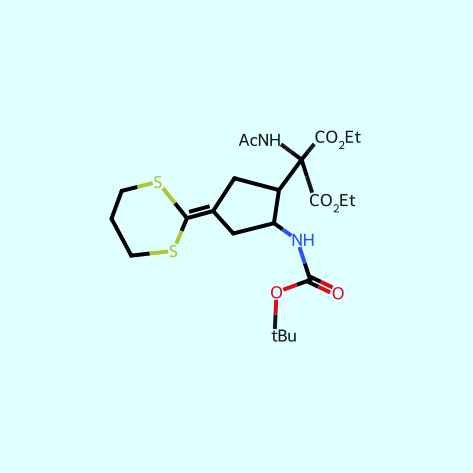 CCOC(=O)C(NC(C)=O)(C(=O)OCC)C1CC(=C2SCCCS2)CC1NC(=O)OC(C)(C)C